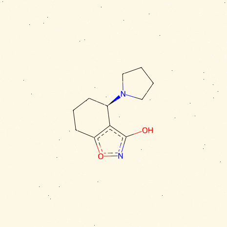 Oc1noc2c1[C@H](N1CCCC1)CCC2